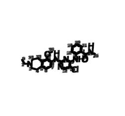 CCN1CCc2ccc(Nc3ncc(Cl)c(Nc4ccccc4C(=O)NC)n3)c(OC)c2CC1